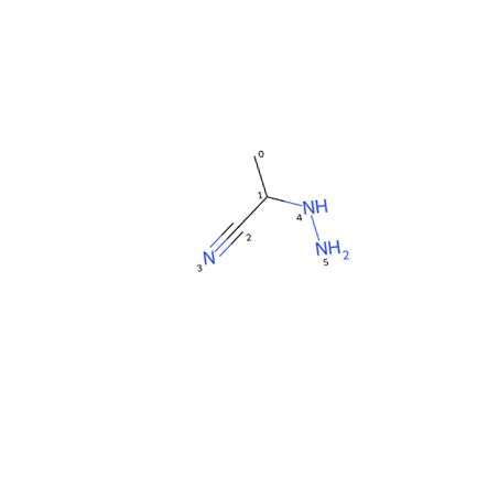 CC(C#N)NN